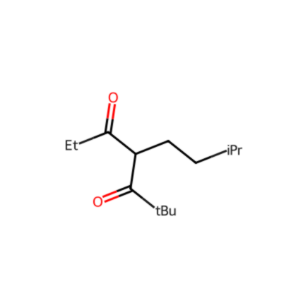 CCC(=O)C(CCC(C)C)C(=O)C(C)(C)C